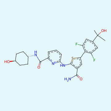 CC(C)(O)c1cc(F)c(-c2cc(C(N)=O)c(Nc3cccc(C(=O)N[C@H]4CC[C@H](O)CC4)n3)s2)c(F)c1